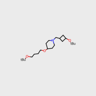 CC(C)(C)OCCCCOC1CCN(CC2CC(OC(C)(C)C)C2)CC1